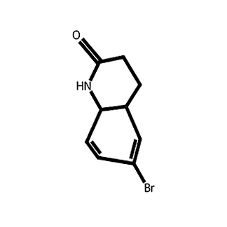 O=C1CCC2C=C(Br)C=CC2N1